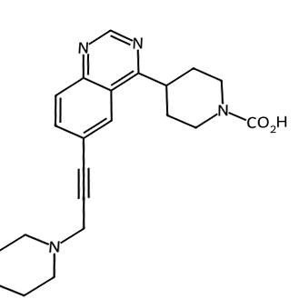 O=C(O)N1CCC(c2ncnc3ccc(C#CCN4CCCCC4)cc23)CC1